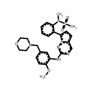 COc1ccc(CN2CCOCC2)cc1Nc1ncc2ccc(-c3ccccc3N(C)S(C)(=O)=O)n2n1